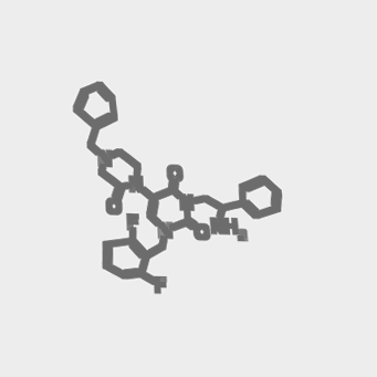 NC(Cn1c(=O)c(N2CCN(Cc3ccccc3)CC2=O)cn(Cc2c(F)cccc2F)c1=O)c1ccccc1